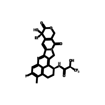 CC[C@@]1(O)C(=O)OCc2c1cc1n(c2=O)Cc2c-1nc1cc(F)c(C)c3c1c2[C@@H](NC(=O)[C@@H](O)C(F)(F)F)CC3